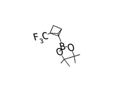 CC1(C)OB(C2C3CC2(C(F)(F)F)C3)OC1(C)C